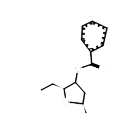 CC[C@@H]1O[C@H](C)CC1OC(=O)c1ccccc1